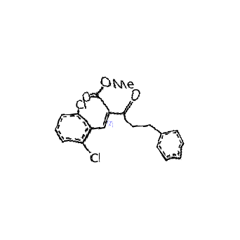 COC(=O)/C(=C\c1c(Cl)cccc1Cl)C(=O)CCc1ccccc1